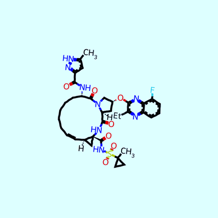 CCc1nc2cccc(F)c2nc1O[C@@H]1C[C@H]2C(=O)N[C@]3(C(=O)NS(=O)(=O)C4(C)CC4)C[C@H]3/C=C\CCCCC[C@H](NC(=O)c3cc(C)[nH]n3)C(=O)N2C1